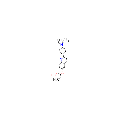 CCC(CO)Oc1ccc2nc(-c3ccc(N(CC)CC)cc3)ccc2c1